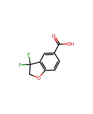 O=C(O)c1ccc2c(c1)C(F)(F)CO2